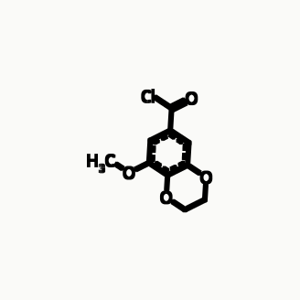 COc1cc(C(=O)Cl)cc2c1OCCO2